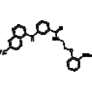 COc1ccccc1OCCNC(=O)c1cccc(Nc2ccnc3cc(C(F)(F)F)ccc23)c1